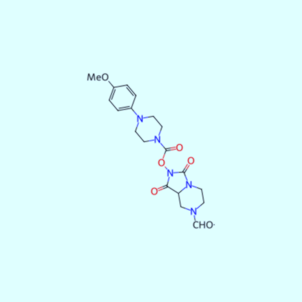 COc1ccc(N2CCN(C(=O)ON3C(=O)C4CN([C]=O)CCN4C3=O)CC2)cc1